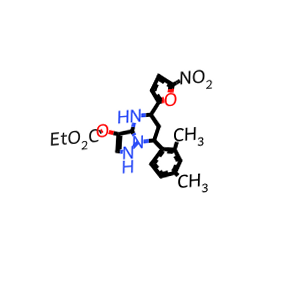 CCOC(=O)OC1=CNN2C1NC(c1ccc([N+](=O)[O-])o1)CC2c1ccc(C)cc1C